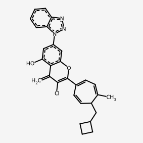 C=C1C(Cl)=C(C2=CC=C(C)C(CC3CCC3)C=C2)Oc2cc(-n3nnc4ccccc43)cc(O)c21